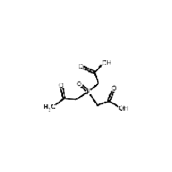 CC(=O)CP(=O)(CC(=O)O)CC(=O)O